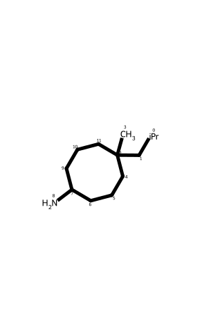 CC(C)CC1(C)CCCC(N)CCC1